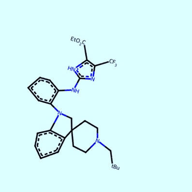 CCOC(=O)c1[nH]c(Nc2ccccc2N2CC3(CCN(CC(C)(C)C)CC3)c3ccccc32)nc1C(F)(F)F